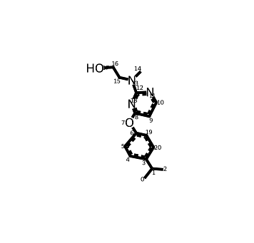 CC(C)c1ccc(Oc2ccnc(N(C)CCO)n2)cc1